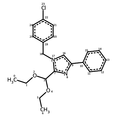 CCOC(OCC)c1nc(-c2ccccc2)cn1Cc1ccc(Cl)cc1